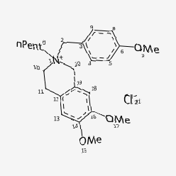 CCCCC[N+]1(Cc2ccc(OC)cc2)CCc2cc(OC)c(OC)cc2C1.[Cl-]